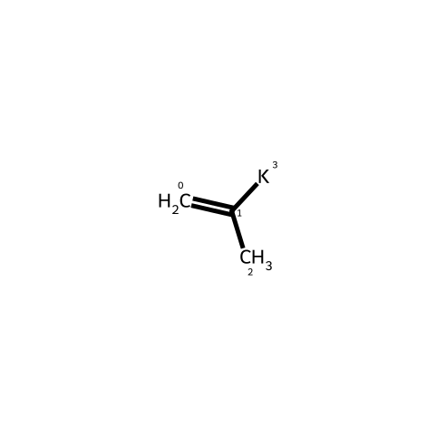 C=[C](C)[K]